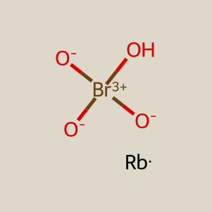 [O-][Br+3]([O-])([O-])O.[Rb]